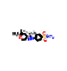 CC1(C)C[C@H](CNc2ccc(S(N)(=O)=O)cc2[N+](=O)[O-])CCO1